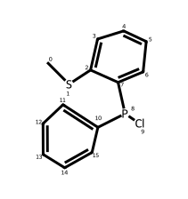 CSc1ccccc1P(Cl)c1ccccc1